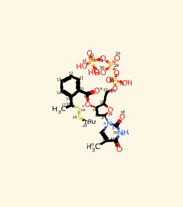 Cc1cn([C@H]2C[C@@H](OC(=O)c3ccccc3C(C)SSC(C)(C)C)C(COP(=O)(O)OP(=O)(O)OP(=O)(O)O)O2)c(=O)[nH]c1=O